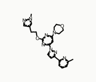 Cc1cccc(-c2ccn(-c3cc(N4CCOCC4)nc(OCCc4cnn(C)c4)n3)n2)n1